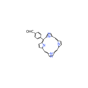 O=Cc1ccc(-c2c3nc(cc4ccc(cc5nc(cc6ccc2[nH]6)C=C5)[nH]4)C=C3)cc1